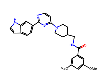 COc1cc(OC)cc(C(=O)NCC2CCN(c3ccnc(-c4ccc5cc[nH]c5c4)n3)CC2)c1